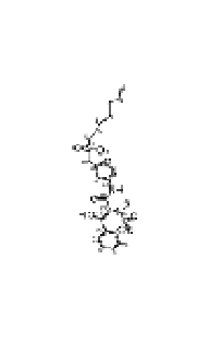 CCCCCCCS(=O)(=O)Cc1cc(NC(=O)C2=C(O)c3ccccc3S(=O)(=O)N2C)no1